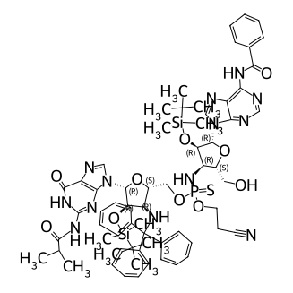 CC(C)C(=O)Nc1nc2c(ncn2[C@@H]2O[C@H](COP(=S)(N[C@H]3[C@@H](O[Si](C)(C)C(C)(C)C)[C@H](n4cnc5c(NC(=O)c6ccccc6)ncnc54)O[C@@H]3CO)OCCC#N)[C@@H](NC(c3ccccc3)(c3ccccc3)c3ccccc3)[C@H]2O[Si](C)(C)C(C)(C)C)c(=O)[nH]1